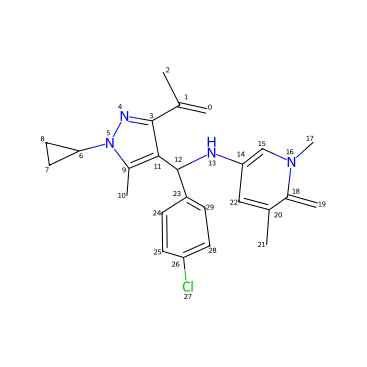 C=C(C)c1nn(C2CC2)c(C)c1C(NC1=CN(C)C(=C)C(C)=C1)c1ccc(Cl)cc1